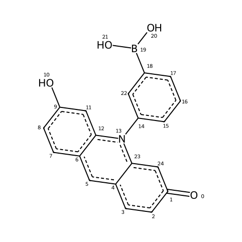 O=c1ccc2cc3ccc(O)cc3n(-c3cccc(B(O)O)c3)c-2c1